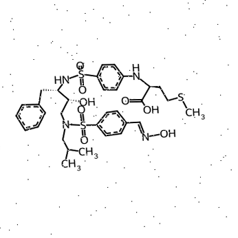 CSCC[C@H](Nc1ccc(S(=O)(=O)N[C@@H](Cc2ccccc2)[C@H](O)CN(CC(C)C)S(=O)(=O)c2ccc(/C=N/O)cc2)cc1)C(=O)O